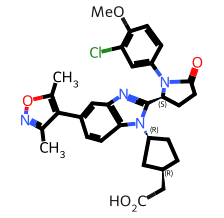 COc1ccc(N2C(=O)CC[C@H]2c2nc3cc(-c4c(C)noc4C)ccc3n2[C@@H]2CC[C@@H](CC(=O)O)C2)cc1Cl